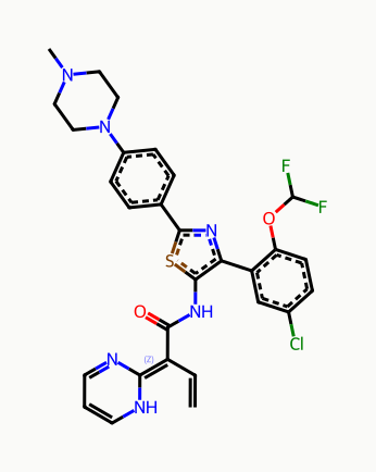 C=C/C(C(=O)Nc1sc(-c2ccc(N3CCN(C)CC3)cc2)nc1-c1cc(Cl)ccc1OC(F)F)=C1/N=CC=CN1